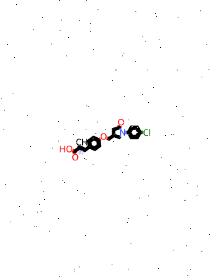 C/C(=C\c1ccc(OCC2CC(=O)N(c3ccc(Cl)cc3)C2)cc1)C(=O)O